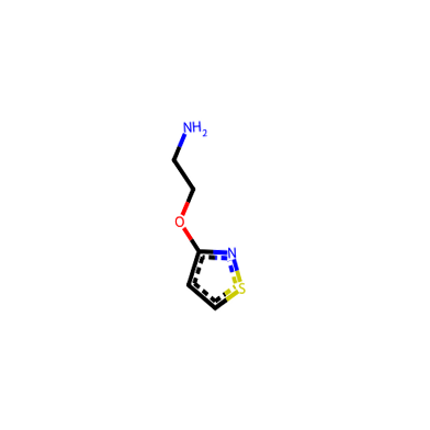 NCCOc1ccsn1